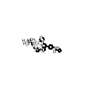 C[C@@H]1COCCN1c1cc(-c2ccc(NC(=O)C3CCC3)cc2)c2cnn(-c3ccn(COCC[Si](C)(C)C)n3)c2n1